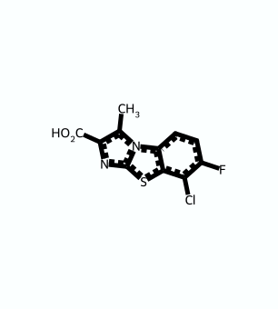 Cc1c(C(=O)O)nc2sc3c(Cl)c(F)ccc3n12